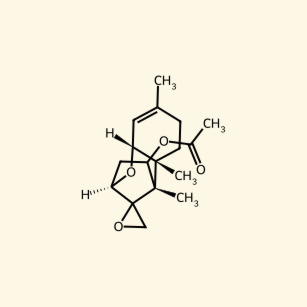 CC(=O)OC1C[C@H]2O[C@@H]3C=C(C)CC[C@]3(C)[C@]1(C)C21CO1